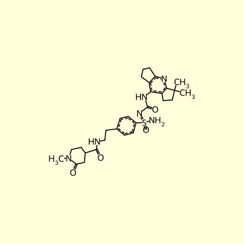 CN1CCC(C(=O)NCCc2ccc(S(N)(=O)=NC(=O)Nc3c4c(nc5c3CCC5(C)C)CCC4)cc2)CC1=O